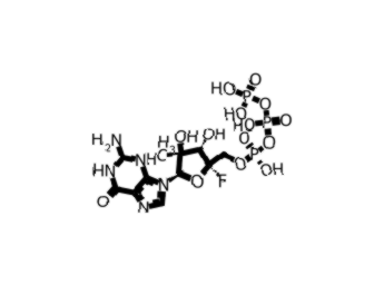 C[C@]1(O)[C@H](n2cnc3c2NC(N)NC3=O)O[C@](F)(COP(=O)(O)OP(=O)(O)OP(=O)(O)O)[C@H]1O